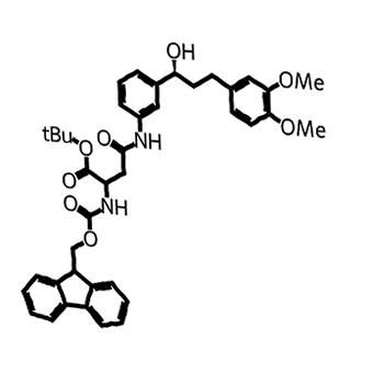 COc1ccc(CC[C@H](O)c2cccc(NC(=O)CC(NC(=O)OCC3c4ccccc4-c4ccccc43)C(=O)OC(C)(C)C)c2)cc1OC